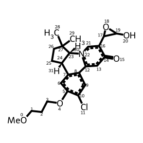 COCCCOc1cc2c(cc1Cl)-c1cc(=O)c(C3OC3O)cn1[C@@H]1[C@H]2CCC1(C)C